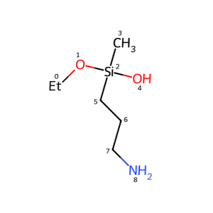 CCO[Si](C)(O)CCCN